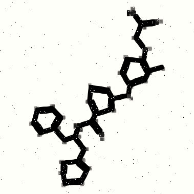 Cc1cc(Oc2cccc(C(=O)NC(Cc3ccccc3)Cc3ccccc3)c2)ccc1OCC(=O)O